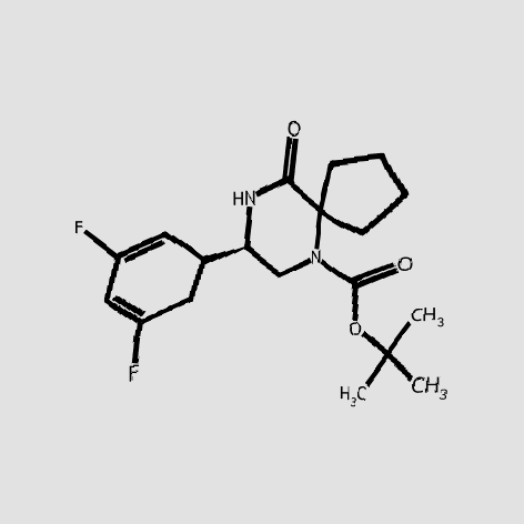 CC(C)(C)OC(=O)N1C[C@@H](C2C=C(F)C=C(F)C2)NC(=O)C12CCCC2